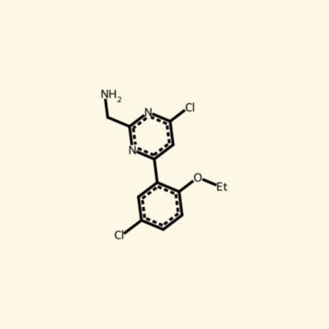 CCOc1ccc(Cl)cc1-c1cc(Cl)nc(CN)n1